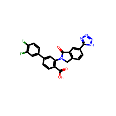 O=C(O)c1ccc(-c2ccc(F)c(F)c2)cc1N1Cc2ccc(-c3nnn[nH]3)cc2C1=O